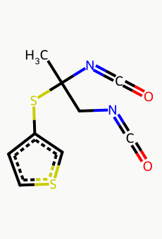 CC(CN=C=O)(N=C=O)Sc1ccsc1